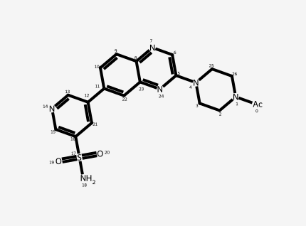 CC(=O)N1CCN(c2cnc3ccc(-c4cncc(S(N)(=O)=O)c4)cc3n2)CC1